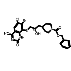 O=C(OCc1ccccc1)N1CCC(C[C@@H](O)CSc2c(Br)c(Cl)cc3c(O)nc(=O)[nH]c23)CC1